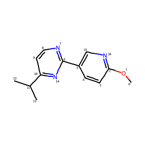 COc1ccc(-c2nccc(C(C)C)n2)cn1